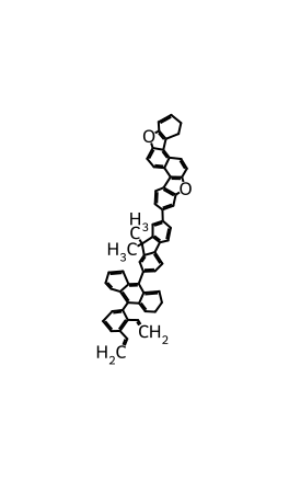 C=Cc1cccc(-c2c3c(c(-c4ccc5c(c4)C(C)(C)c4cc(-c6ccc7c(c6)oc6ccc8c(ccc9oc%10c(c98)CCC=C%10)c67)ccc4-5)c4ccccc24)=CCCC=3)c1C=C